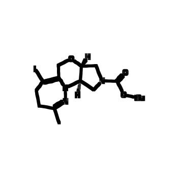 CC1=NN2C(=C(I)CC1)CO[C@@H]1CN(C(=O)OC(C)(C)C)C[C@H]12